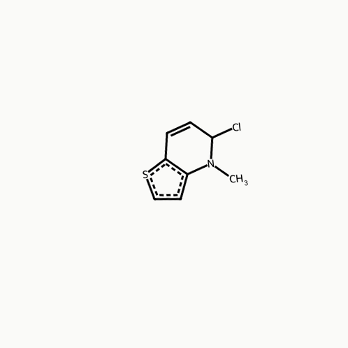 CN1c2ccsc2C=CC1Cl